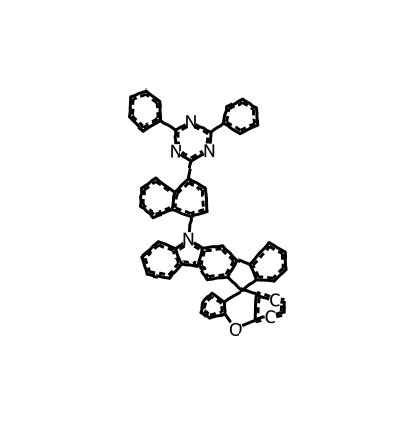 c1ccc(-c2nc(-c3ccccc3)nc(-c3ccc(-n4c5ccccc5c5cc6c(cc54)-c4ccccc4C64c5ccccc5Oc5ccccc54)c4ccccc34)n2)cc1